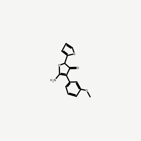 COc1cccc(C2=C(N)OC(c3cccs3)C2=O)c1